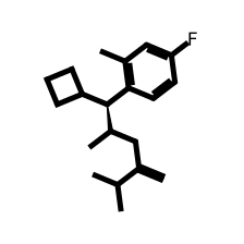 C=C(CC(C)[C@H](c1ccc(F)cc1C)C1CCC1)C(C)C